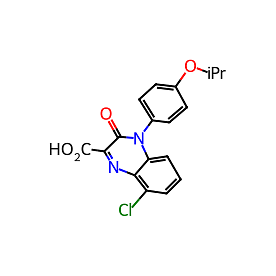 CC(C)Oc1ccc(-n2c(=O)c(C(=O)O)nc3c(Cl)cccc32)cc1